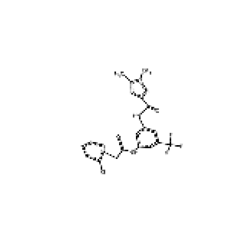 Cc1cc(C(=O)Nc2cc(NC(=O)Cc3ccccc3Cl)cc(C(F)(F)F)c2)nn1C